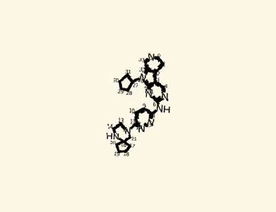 c1cc2c3cnc(Nc4ccc(N5CCNC6(CCCC6)C5)nn4)nc3n(C3CCCC3)c2cn1